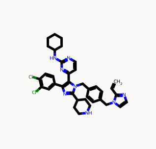 C=Cc1nccn1Cc1ccc(Cn2c(C3CCNCC3)nc(-c3ccc(Cl)c(Cl)c3)c2-c2ccnc(NC3CCCCC3)n2)cc1